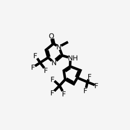 Cn1c(Nc2cc(C(F)(F)F)cc(C(F)(F)F)c2)nc(C(F)(F)F)cc1=O